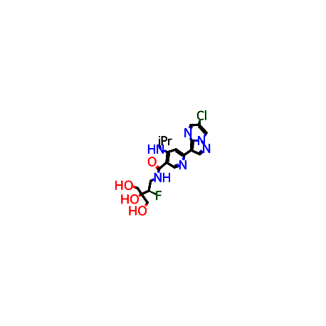 CC(C)Nc1cc(-c2cnn3cc(Cl)cnc23)ncc1C(=O)NC[C@@H](F)C(O)(CO)CO